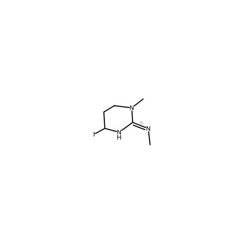 C/N=C1\NC(I)CCN1C